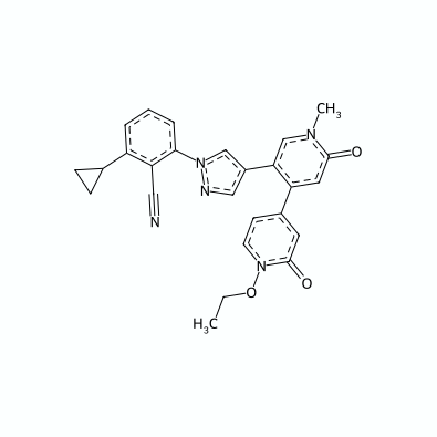 CCOn1ccc(-c2cc(=O)n(C)cc2-c2cnn(-c3cccc(C4CC4)c3C#N)c2)cc1=O